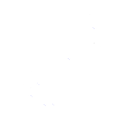 CC(C)n1c(=O)n(C)c2nnc3ccc(-c4ccc(COC(F)(F)CN5CC6CC6C5)nc4)cc3c21